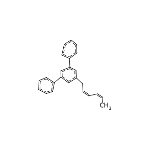 C/C=C\C=C/Cc1cc(-c2ccccc2)cc(-c2ccccc2)c1